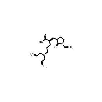 C=CCN(CC=C)CCCC(=CC1CCN(C=C)C1=O)C(=O)O